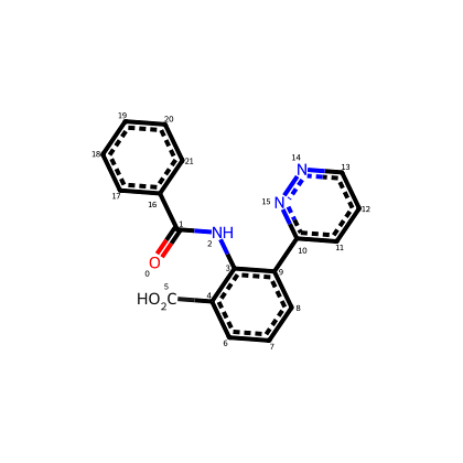 O=C(Nc1c(C(=O)O)cccc1-c1cccnn1)c1ccccc1